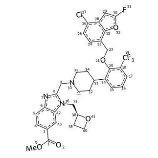 COC(=O)c1ccc2nc(CN3CCC(c4cccc(C(F)(F)F)c4OCc4ccc(Cl)c5cc(F)oc45)CC3)n(C[C@@H]3CCO3)c2c1